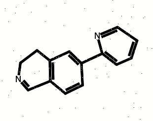 C1=NCCc2cc(-c3ccccn3)ccc21